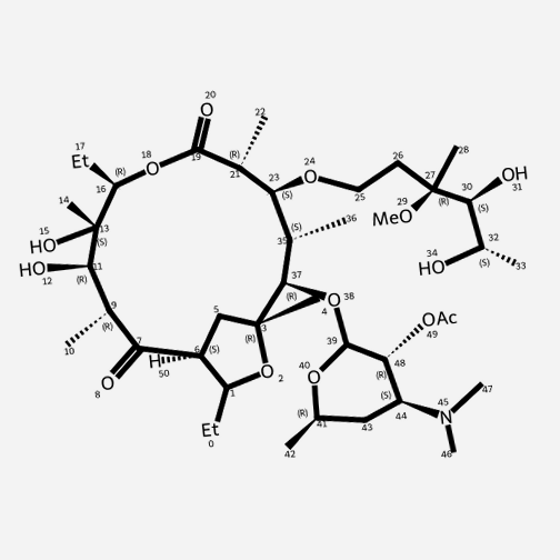 CCC1O[C@]2(C)C[C@@H]1C(=O)[C@H](C)[C@@H](O)[C@](C)(O)[C@@H](CC)OC(=O)[C@H](C)[C@@H](OCC[C@@](C)(OC)[C@@H](O)[C@H](C)O)[C@H](C)[C@H]2OC1O[C@H](C)C[C@H](N(C)C)[C@H]1OC(C)=O